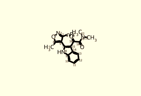 CCCc1noc(C)c1-c1[nH]c2ccccc2c1C(=O)C(=O)N(C)C